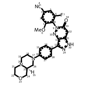 COc1cc(C#N)cc(F)c1-n1nc2c(-c3ccc(N4CCN5CCOC[C@@H]5C4)cc3)n[nH]c2cc1=O